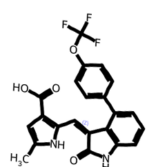 Cc1cc(C(=O)O)c(/C=C2\C(=O)Nc3cccc(-c4ccc(OC(F)(F)F)cc4)c32)[nH]1